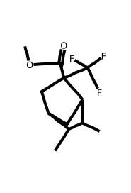 COC(=O)C1(C(F)(F)F)CC2CC1C(C)C2C